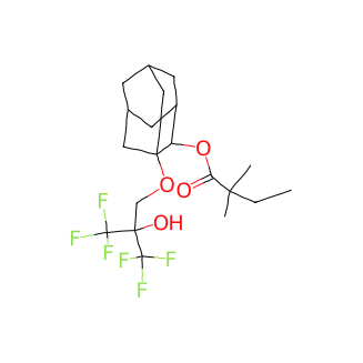 CCC(C)(C)C(=O)OC1C2CC3CC(C2)CC1(OCC(O)(C(F)(F)F)C(F)(F)F)C3